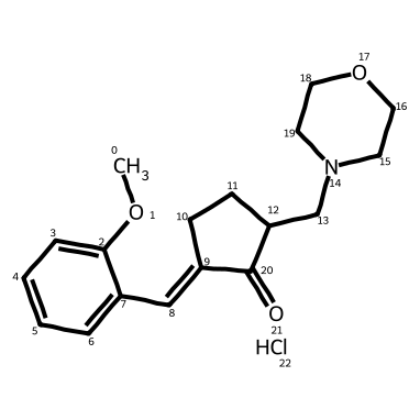 COc1ccccc1C=C1CCC(CN2CCOCC2)C1=O.Cl